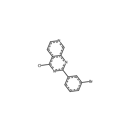 Clc1nc(-c2cccc(Br)c2)nc2cnccc12